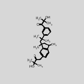 CC1CC(C)(CC(C)(C)c2cccc(C(=O)C(C)(C)O)c2)c2cc(CC(=O)C(C)(C)O)ccc21